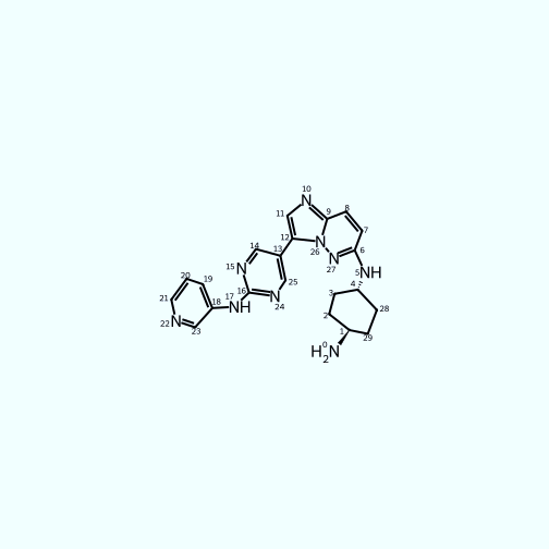 N[C@H]1CC[C@H](Nc2ccc3ncc(-c4cnc(Nc5cccnc5)nc4)n3n2)CC1